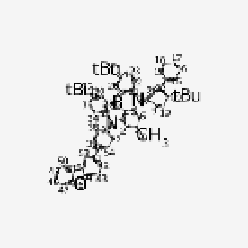 Cc1cc2c3c(c1)N(c1ccc(C(C)(C)C)c(-c4ccccc4)c1)c1ccc(C(C)(C)C)cc1B3c1cc(C(C)(C)C)ccc1N2c1ccc(-c2ccc3oc4ccccc4c3c2)cc1